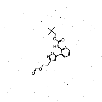 CC(C)(C)COC(=O)Nc1ncccc1-c1cc(CCOC=O)no1